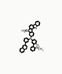 C[SiH2]c1ccccc1-c1cccc(N(c2cccc(C3=CCC4C=CC=CC4=C3)c2)C2C=CC3=C(C2)[SiH](C)c2ccc4c(c23)SC2C=CC=CC42)c1